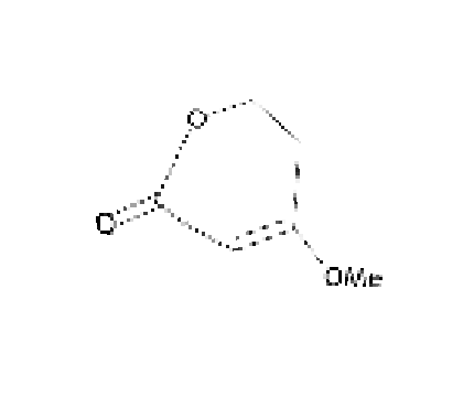 COC1=CC(=O)OCC1